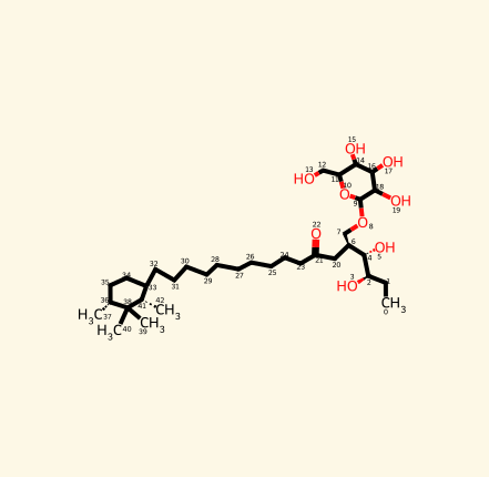 CC[C@@H](O)[C@@H](O)[C@H](COC1OC(CO)C(O)C(O)C1O)CC(=O)CCCCCCCCCCC1CC[C@@H](C)C(C)(C)[C@H]1C